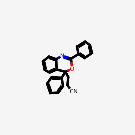 N#CCCC1(c2ccccc2)OC(c2ccccc2)=Nc2ccccc21